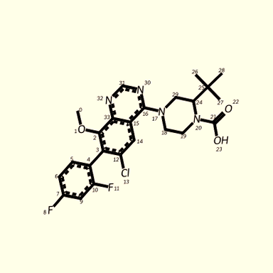 COc1c(-c2ccc(F)cc2F)c(Cl)cc2c(N3CCN(C(=O)O)C(C(C)(C)C)C3)ncnc12